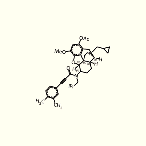 COc1cc(OC(C)=O)c2c3c1O[C@H]1[C@H](N(CC(C)C)C(=O)C#Cc4ccc(C)c(C)c4)CC[C@H]4[C@@H](C2)N(CC2CC2)CC[C@@]341